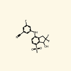 CS(=O)(=O)c1ccc(Nc2cc(F)cc(C#N)c2)c2c1C(O)C(F)(F)C2